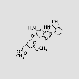 COC(=O)CN(CCOc1cc2ncnc(NC(C)c3ccccc3)c2cc1N)CC(=O)OC